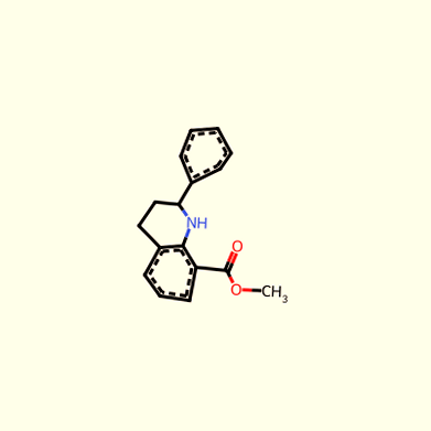 COC(=O)c1cccc2c1NC(c1ccccc1)CC2